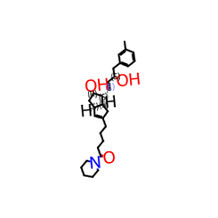 Cc1cccc(C[C@H](O)/C=C/[C@@H]2[C@H]3CC(CCCCC(=O)N4CCCCC4)=C[C@H]3C[C@H]2O)c1